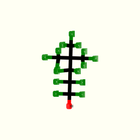 [O]C(Cl)(Cl)C(Cl)(Cl)C(Cl)(Cl)C(C(Cl)(Cl)Cl)(C(Cl)(Cl)Cl)C(Cl)(Cl)Cl